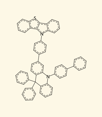 c1ccc(-c2ccc(N3c4ccccc4C(c4ccccc4)(c4ccccc4)c4ccc(-c5ccc(-n6c7ccccc7c7sc8ccccc8c76)cc5)cc43)cc2)cc1